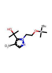 CC(C)(O)c1c([N+](=O)[O-])cnn1CCO[Si](C)(C)C(C)(C)C